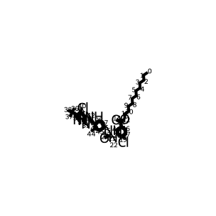 CCCCCCCCCCCCOC(=O)c1ccc(Cl)c(N(C)C(=O)Nc2ccc(-c3nn4nc(C(C)(C)C)c(Cl)c4[nH]3)c(C)c2)c1